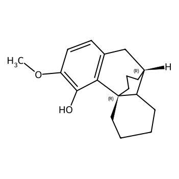 COc1ccc2c(c1O)[C@@]13CCCCC1[C@H](CCC3)C2